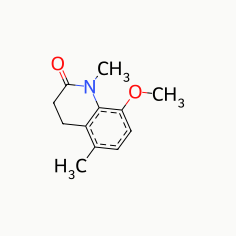 COc1ccc(C)c2c1N(C)C(=O)CC2